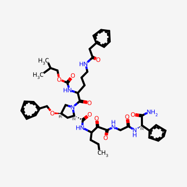 CCCC(NC(=O)[C@@H]1C[C@@H](OCc2ccccc2)CN1C(=O)C(CCCNC(=O)Cc1ccccc1)NC(=O)OCC(C)C)C(=O)C(=O)NCC(=O)N[C@H](C(N)=O)c1ccccc1